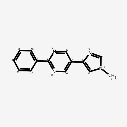 Cn1cnc(-c2cnc(-c3ccccc3)nc2)c1